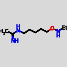 CCNOCCCCCNC(C)=N